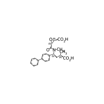 C[C@H](C[C@@H](c1ccc(-c2ccccc2)cc1)N(C)C(=O)[C@H]1O[C@H]1C(=O)O)C(=O)O